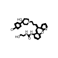 O=C(NCCO)NC1C=CC=C2Oc3ncccc3C(=CCCN3CCC(O)(c4ccc(Cl)cc4)CC3)C=C21